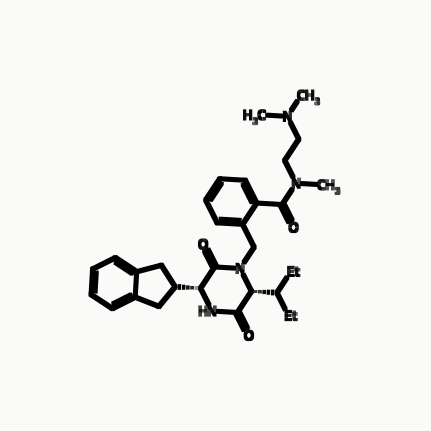 CCC(CC)[C@@H]1C(=O)N[C@H](C2Cc3ccccc3C2)C(=O)N1Cc1ccccc1C(=O)N(C)CCN(C)C